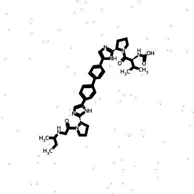 CCC(C)NCC(=O)N1CCC[C@H]1c1ncc(-c2ccc(-c3ccc(-c4cnc([C@@H]5CCCN5C(=O)[C@@H](NC(=O)O)C(C)C)[nH]4)cc3)cc2)[nH]1